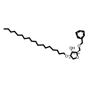 CCCCCCCCCCCCCCCCCCO[C@H]1CO[C@H](COCc2ccccc2)[C@H]1O